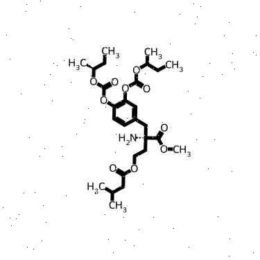 CCC(C)OC(=O)Oc1cc(C[C@](N)(CCOC(=O)CC(C)C)C(=O)OC)ccc1OC(=O)O[C@@H](C)CC